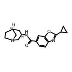 O=C(N[C@@H]1C[C@@H]2CCN(C2)C1)c1ccc2nc(C3CC3)oc2c1